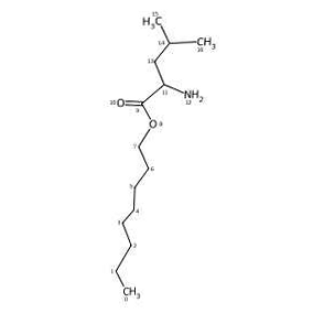 CCCCCCCCOC(=O)C(N)CC(C)C